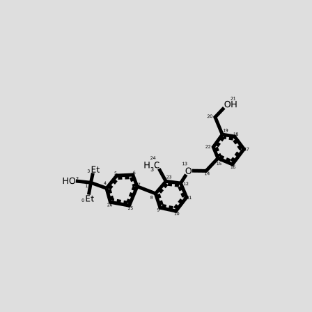 CCC(O)(CC)c1ccc(-c2cccc(OCc3cc[c]c(CO)c3)c2C)cc1